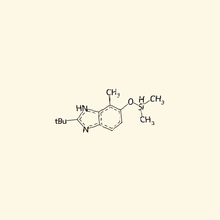 Cc1c(O[SiH](C)C)ccc2nc(C(C)(C)C)[nH]c12